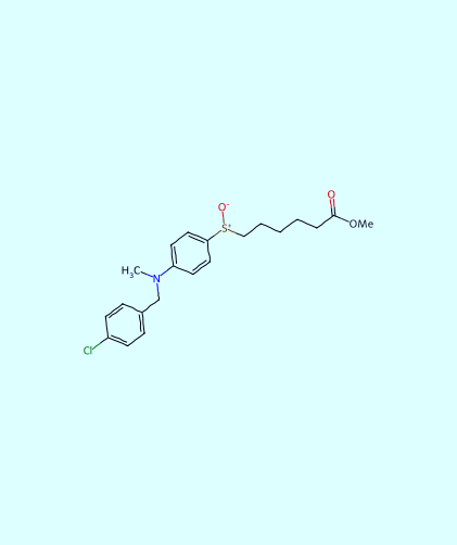 COC(=O)CCCCC[S+]([O-])c1ccc(N(C)Cc2ccc(Cl)cc2)cc1